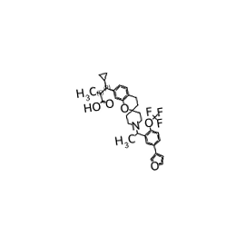 CC(c1cc(-c2ccoc2)ccc1OC(F)(F)F)N1CCC2(CCc3ccc([C@H](C4CC4)[C@H](C)C(=O)O)cc3O2)CC1